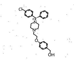 OCc1ccc(OCCN2CCN([C@H](c3ccccc3)c3ccc(Cl)cc3)CC2)cc1